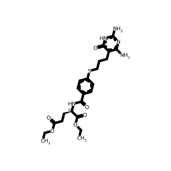 CCOC(=O)CC[C@@H](NC(=O)c1ccc(SCCCc2c(N)nc(N)[nH]c2=O)cc1)C(=O)OCC